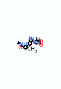 Cc1ccc(C(=O)NC2CC2)cc1-c1ccc2c(N3CCN4C(=O)OC[C@H]4C3)nncc2c1